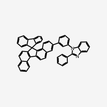 c1ccc(-c2nc3ccccc3n2-c2cccc(-c3ccc4c5c(ccc4c3)-c3c(ccc4ccccc34)C53c4ccccc4-c4ccccc43)c2)cc1